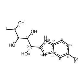 CC(O)C(O)C(O)[C@@H](O)c1nc2cc(Br)ccc2[nH]1